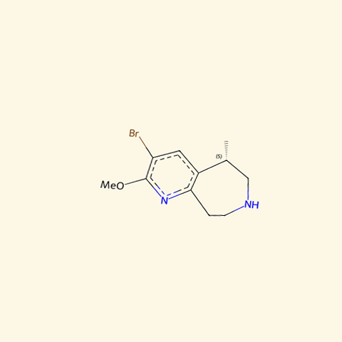 COc1nc2c(cc1Br)[C@H](C)CNCC2